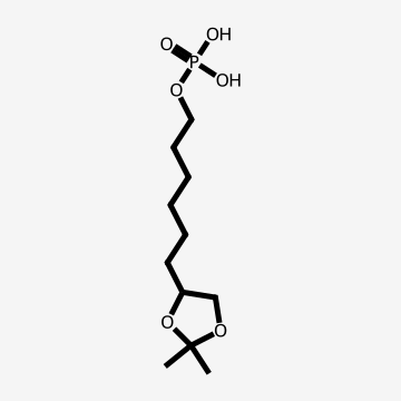 CC1(C)OCC(CCCCCCOP(=O)(O)O)O1